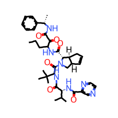 CCCC(NC(=O)[C@@H]1[C@H]2CC=C[C@H]2CN1C(=O)[C@@H](NC(=O)[C@H](NC(=O)c1cnccn1)C(C)C)C(C)(C)C)C(=O)C(=O)N[C@@H](C)c1ccccc1